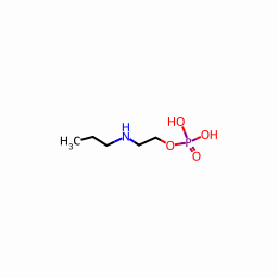 CCCNCCOP(=O)(O)O